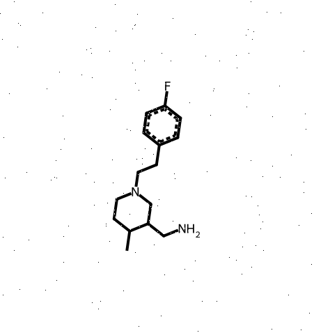 CC1CCN(CCc2ccc(F)cc2)CC1CN